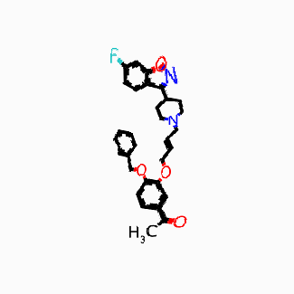 CC(=O)c1ccc(OCc2ccccc2)c(OC/C=C/CN2CCC(c3noc4cc(F)ccc34)CC2)c1